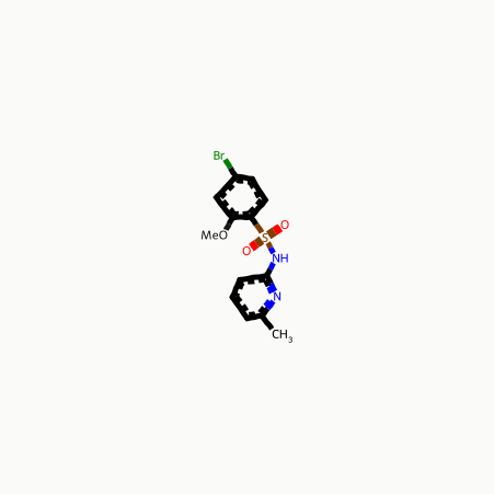 COc1cc(Br)ccc1S(=O)(=O)Nc1cccc(C)n1